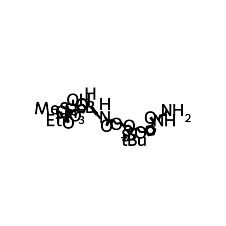 CCN(C)C(=O)[C@H](O[C@@H]1C[C@H](BC#CCNC(=O)COCCOC(COc2cccc(C(=O)NCCN)c2)SSC(C)(C)C)OC1CO)SSC